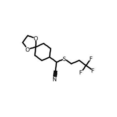 N#CC(SCCC(F)(F)F)C1CCC2(CC1)OCCO2